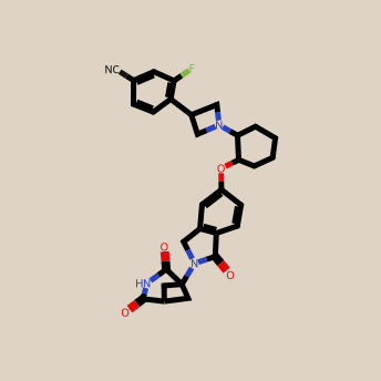 N#Cc1ccc(C2CN(C3CCCCC3Oc3ccc4c(c3)CN(C35CC(C3)C(=O)NC5=O)C4=O)C2)c(F)c1